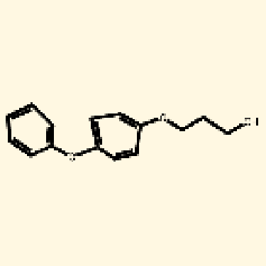 OCCCOc1ccc(Oc2ccccc2)cc1